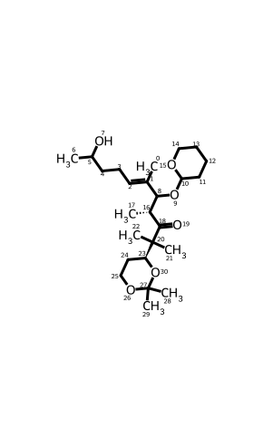 C/C(=C\CCC(C)O)C(OC1CCCCO1)[C@@H](C)C(=O)C(C)(C)[C@@H]1CCOC(C)(C)O1